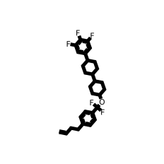 C=CCCc1ccc(C(F)(F)OC2CCC(C3CCC(c4cc(F)c(F)c(F)c4)CC3)CC2)cc1